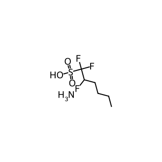 CCCCC(F)C(F)(F)S(=O)(=O)O.N